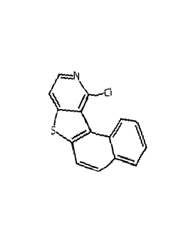 Clc1nccc2sc3ccc4ccccc4c3c12